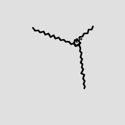 CCCCCCCCCCCCCCCCc1cc(CCCCCCCCCCCCCCCC)c[n+](CCCCCCC)c1